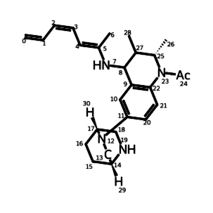 C=C/C=C\C=C(/C)NC1c2cc(N3C[C@H]4CC[C@@H]3CN4)ccc2N(C(C)=O)[C@@H](C)C1C